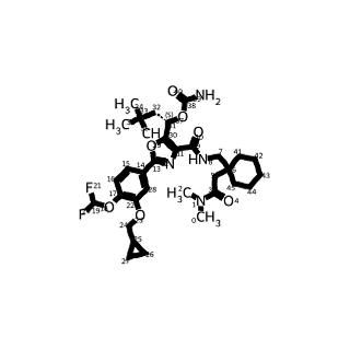 CN(C)C(=O)CC1(CNC(=O)c2nc(-c3ccc(OC(F)F)c(OCC4CC4)c3)oc2[C@H](CC(C)(C)C)OC(N)=O)CCCCC1